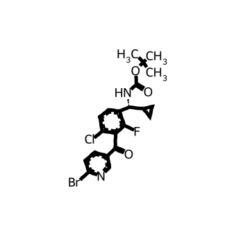 CC(C)(C)OC(=O)N[C@@H](c1ccc(Cl)c(C(=O)c2ccc(Br)nc2)c1F)C1CC1